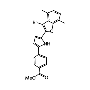 COC(=O)c1ccc(-c2ccc(-c3oc4c(C)ccc(C)c4c3Br)[nH]2)cc1